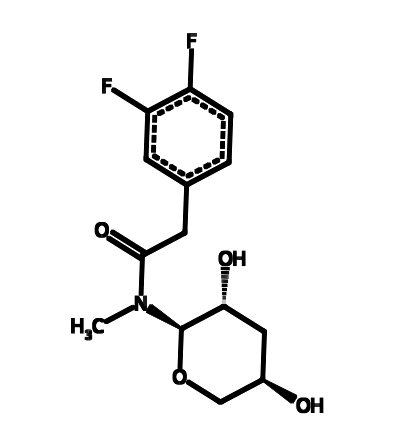 CN(C(=O)Cc1ccc(F)c(F)c1)[C@@H]1OC[C@H](O)C[C@H]1O